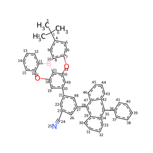 CC(C)(C)c1ccc2c(c1)B1c3ccccc3Oc3cc(-c4cc(C#N)cc(-c5c6ccccc6c(-c6ccccc6)c6ccccc56)c4)cc(c31)O2